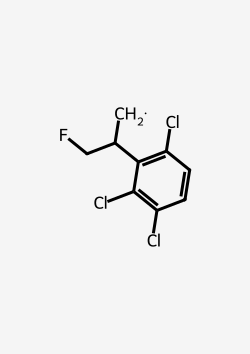 [CH2]C(CF)c1c(Cl)ccc(Cl)c1Cl